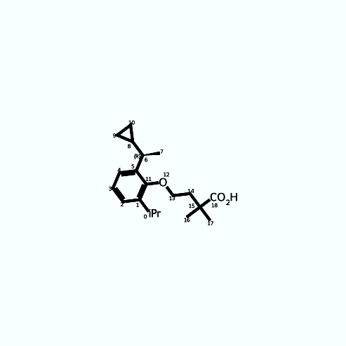 CC(C)c1cccc([C@H](C)C2CC2)c1OCCC(C)(C)C(=O)O